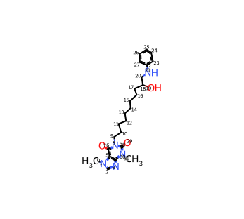 Cn1cnc2c1c(=O)n(CCCCCCCCCC(O)CNc1ccccc1)c(=O)n2C